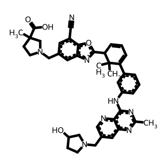 Cc1nc(Nc2cccc(C3=CC=CC(c4nc5cc(CN6CCC(C)(C(=O)O)C6)cc(C#N)c5o4)C3(C)C)c2)c2ncc(CN3CCC(O)C3)cc2n1